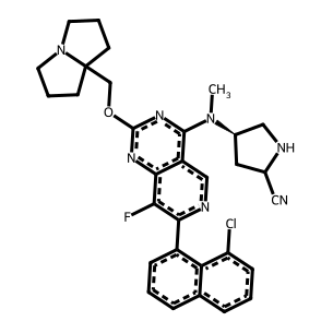 CN(c1nc(OCC23CCCN2CCC3)nc2c(F)c(-c3cccc4cccc(Cl)c34)ncc12)[C@H]1CNC(C#N)C1